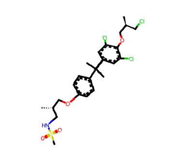 C[C@@H](CNS(C)(=O)=O)COc1ccc(C(C)(C)c2cc(Cl)c(OC[C@@H](C)CCl)c(Cl)c2)cc1